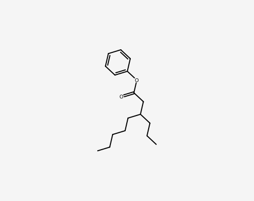 CCCCCC(CCC)CC(=O)Oc1ccccc1